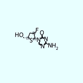 Nc1ncn([C@@H]2S[C@H](CO)C[C@H]2F)c(=O)n1